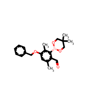 Cc1cc(OCc2ccccc2)c(C)c(B2OCC(C)(C)CO2)c1C=O